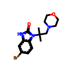 CC(C)(CN1CCOCC1)n1c(=O)[nH]c2cc(Br)ccc21